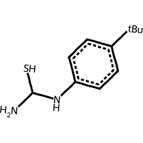 CC(C)(C)c1ccc(NC(N)S)cc1